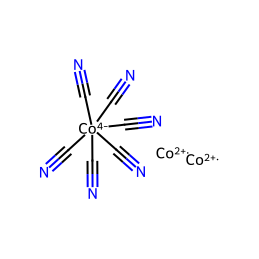 N#[C][Co-4]([C]#N)([C]#N)([C]#N)([C]#N)[C]#N.[Co+2].[Co+2]